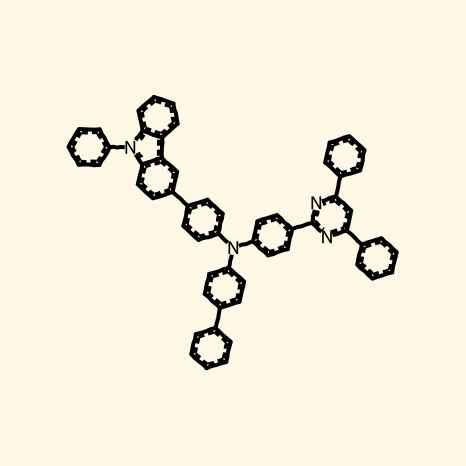 c1ccc(-c2ccc(N(c3ccc(-c4ccc5c(c4)c4ccccc4n5-c4ccccc4)cc3)c3ccc(-c4nc(-c5ccccc5)cc(-c5ccccc5)n4)cc3)cc2)cc1